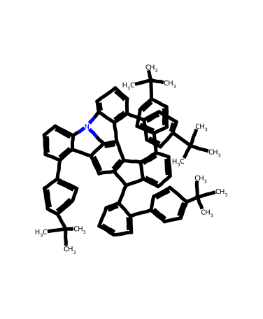 CC(C)(C)c1ccc(-c2ccccc2C2c3cccc(-c4ccc(C(C)(C)C)cc4)c3-c3c2cc2c4c(-c5ccc(C(C)(C)C)cc5)cccc4n4c5cccc(-c6ccc(C(C)(C)C)cc6)c5c3c24)cc1